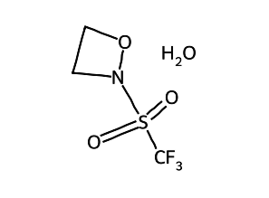 O.O=S(=O)(N1CCO1)C(F)(F)F